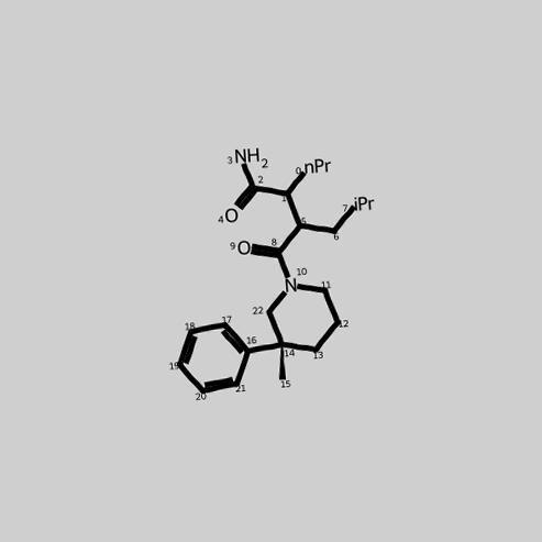 CCCC(C(N)=O)C(CC(C)C)C(=O)N1CCC[C@](C)(c2ccccc2)C1